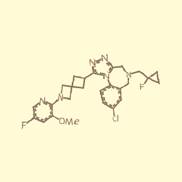 COc1cc(F)cnc1N1CC2(CC(c3nnc4n3-c3ccc(Cl)cc3CN(CC3(F)CC3)C4)C2)C1